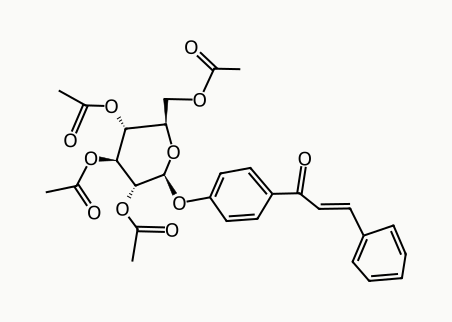 CC(=O)OC[C@H]1O[C@@H](Oc2ccc(C(=O)/C=C/c3ccccc3)cc2)[C@H](OC(C)=O)[C@@H](OC(C)=O)[C@@H]1OC(C)=O